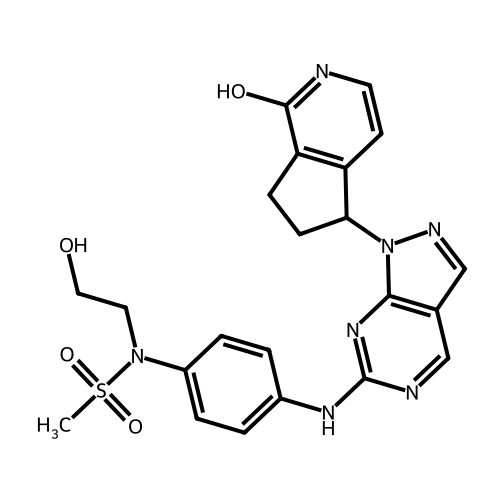 CS(=O)(=O)N(CCO)c1ccc(Nc2ncc3cnn(C4CCc5c4ccnc5O)c3n2)cc1